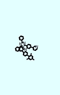 Cc1cc(C)c(-c2ccc3c4ccccc4n(-c4cc(-c5cccnc5)ccc4-c4nc(-c5ccccc5)nc(-c5ccccc5)n4)c3c2)c(C)c1